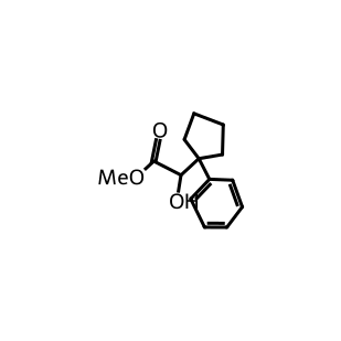 COC(=O)C(O)C1(c2ccccc2)CCCC1